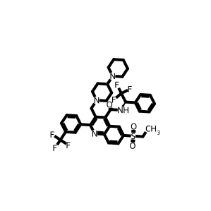 CCS(=O)(=O)c1ccc2nc(-c3cccc(C(F)(F)F)c3)c(CN3CCC(N4CCCCC4)CC3)c(C(=O)N[C@H](c3ccccc3)C(F)(F)F)c2c1